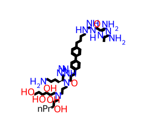 CCCC(O)CCN(CCCN(C(=O)CCc1ccc(-c2ccc(CCCCNC(=N)NC(=O)c3nc(C)c(N)nc3N)cc2)cc1)[C@@H](CCCCN)c1nnn[nH]1)CC(O)C(O)C(O)CCO